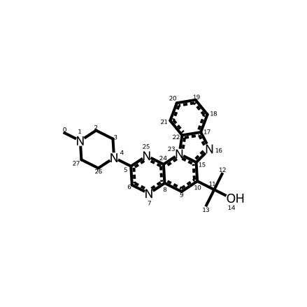 CN1CCN(c2cnc3cc(C(C)(C)O)c4nc5ccccc5n4c3n2)CC1